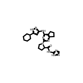 O=C(Nc1ncn[nH]1)C1CCCN1c1nc2c(c(Nc3cc(C4CCCCC4)[nH]n3)n1)CCC2